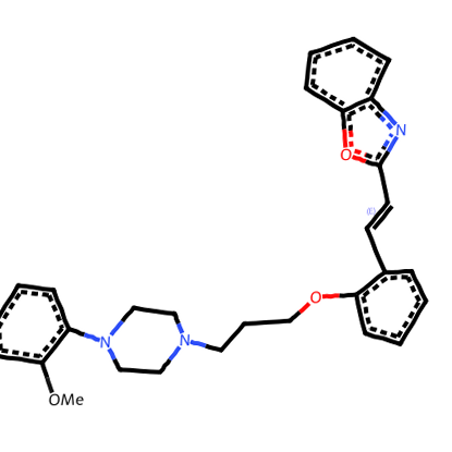 COc1ccccc1N1CCN(CCCOc2ccccc2/C=C/c2nc3ccccc3o2)CC1